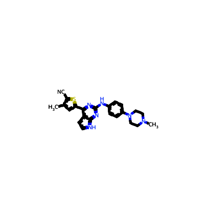 Cc1cc(-c2nc(Nc3ccc(N4CCN(C)CC4)cc3)nc3[nH]ccc23)sc1C#N